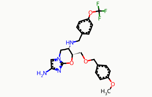 COc1ccc(COC[C@@H]2Oc3nc(N)cn3C[C@@H]2NCc2ccc(OC(F)(F)F)cc2)cc1